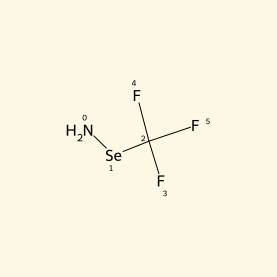 N[Se]C(F)(F)F